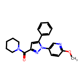 COc1ccc(-n2nc(C(=O)N3CCCCC3)cc2-c2ccccc2)cn1